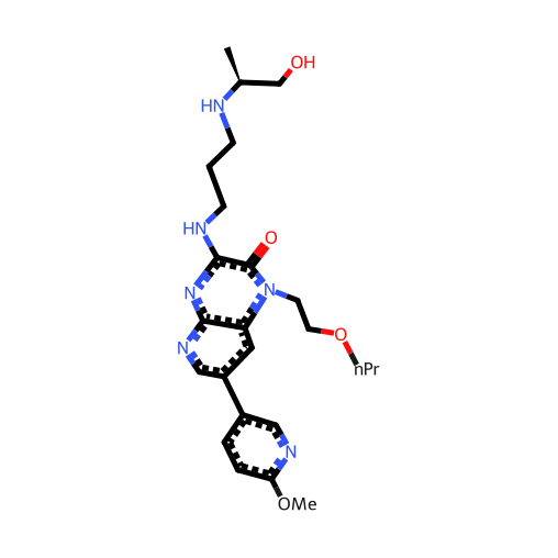 CCCOCCn1c(=O)c(NCCCN[C@@H](C)CO)nc2ncc(-c3ccc(OC)nc3)cc21